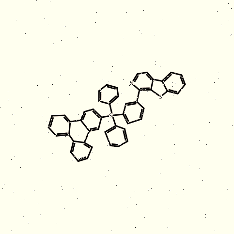 c1ccc([Si](c2ccccc2)(c2cccc(-c3nccc4c3sc3ccccc34)c2)c2ccc3c4ccccc4c4ccccc4c3c2)cc1